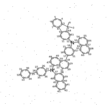 CC1(C)c2ccccc2-c2ccc(N(c3ccc(-c4cccc5c(N(c6ccc(-c7ccccc7)cc6)c6ccc7ccccc7c6)cccc45)cc3)c3cccc4ccccc34)cc21